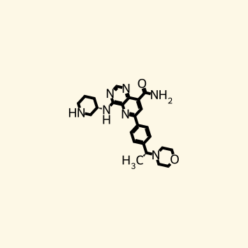 C[C@H](c1ccc(-c2cc(C(N)=O)c3ncnc(N[C@H]4CCCNC4)c3n2)cc1)N1CCOCC1